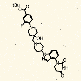 CC(C)(C)OC(=O)c1ccc(N2CCC(O)(CN3CCC(n4ncc5c(N6CCC(=O)NC6=O)cccc54)CC3)CC2)c(F)c1